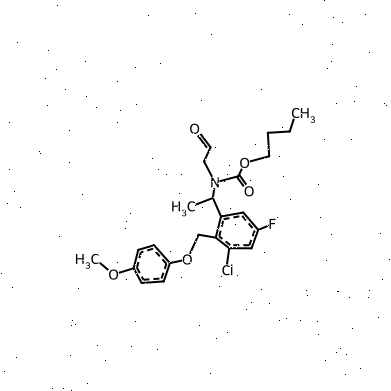 CCCCOC(=O)N(CC=O)C(C)c1cc(F)cc(Cl)c1COc1ccc(OC)cc1